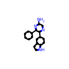 Nc1cnc(-c2ccc3[nH]ccc3c2)c(-c2ccccc2)n1